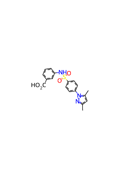 Cc1cc(C)n(-c2ccc(S(=O)(=O)Nc3cccc(C(=O)O)c3)cc2)n1